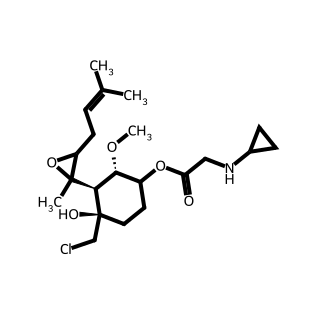 CO[C@@H]1C(OC(=O)CNC2CC2)CC[C@](O)(CCl)[C@H]1C1(C)OC1CC=C(C)C